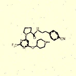 CN1CCC(Oc2cc(N3CCCC3C(=O)NCCc3ccc(C#N)cc3)nc(C(F)(F)F)n2)CC1